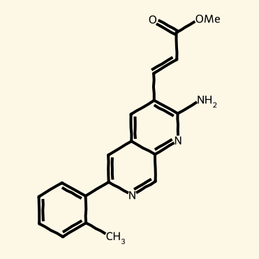 COC(=O)C=Cc1cc2cc(-c3ccccc3C)ncc2nc1N